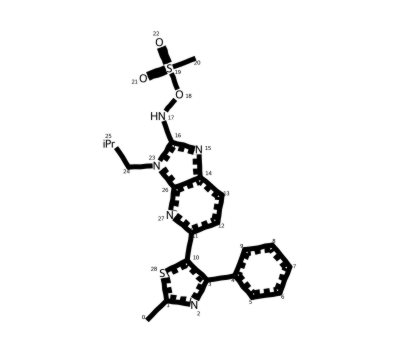 Cc1nc(-c2ccccc2)c(-c2ccc3nc(NOS(C)(=O)=O)n(CC(C)C)c3n2)s1